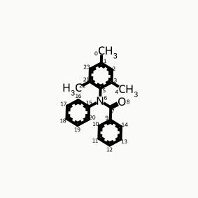 Cc1cc(C)c(N(C(=O)c2ccccc2)c2ccccc2)c(C)c1